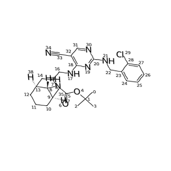 CC(C)(C)OC(=O)N[C@@H]1[C@@H]2CCC[C@H]1CC(CNc1nc(NCc3ccccc3Cl)ncc1C#N)C2